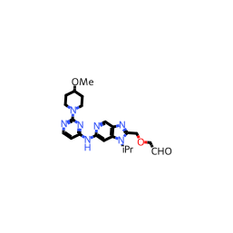 COC1CCN(c2nccc(Nc3cc4c(cn3)nc(COCC=O)n4C(C)C)n2)CC1